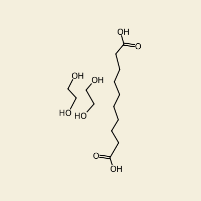 O=C(O)CCCCCCCCC(=O)O.OCCO.OCCO